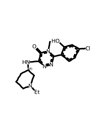 CCN1CCC[C@@H](Nc2nnc(-c3ccc(Cl)cc3O)n(C)c2=O)C1